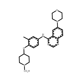 Cc1cc(Nc2ncnc3ccc(N4CCOCC4)cc23)ccc1OC1CCN(C(=O)O)CC1